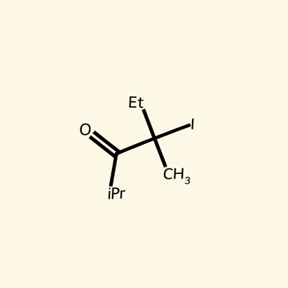 CCC(C)(I)C(=O)C(C)C